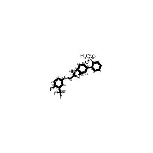 CS(=O)(=O)c1ccccc1-c1ccc2[nH]c(COc3ccc(F)c(C(F)(F)F)c3)nc2c1